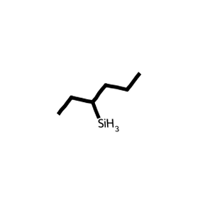 CCCC([SiH3])CC